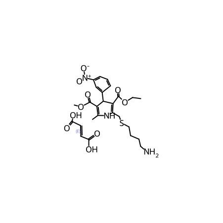 CCOC(=O)C1=C(CSCCCCN)NC(C)=C(C(=O)OC)C1c1cccc([N+](=O)[O-])c1.O=C(O)/C=C/C(=O)O